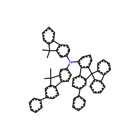 CC1(C)c2ccccc2-c2ccc(N(c3ccc4c(c3)C(C)(C)c3cc(-c5ccccc5)ccc3-4)c3cccc4c3-c3ccc(-c5ccccc5)cc3C43c4ccccc4-c4ccccc43)cc21